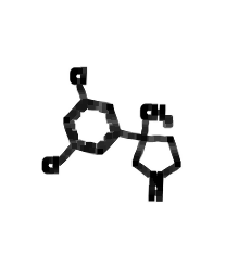 CC1(c2cc(Cl)cc(Cl)c2)CCNC1